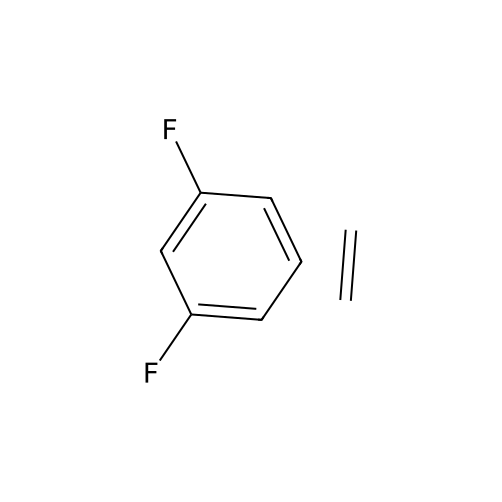 C=C.Fc1cccc(F)c1